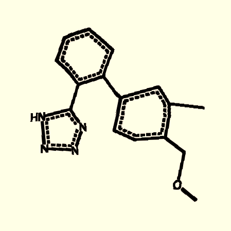 COCc1ccc(-c2ccccc2-c2nnn[nH]2)cc1C